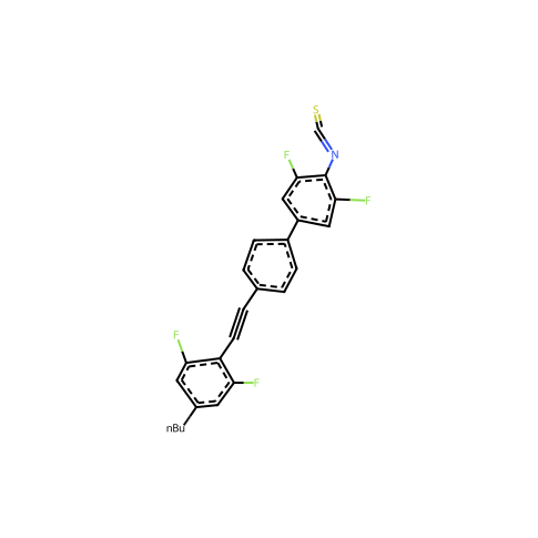 CCCCc1cc(F)c(C#Cc2ccc(-c3cc(F)c(N=C=S)c(F)c3)cc2)c(F)c1